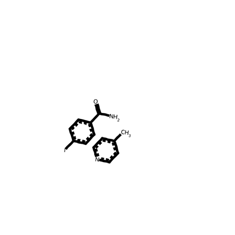 Cc1ccncc1.NC(=O)c1ccc(I)cc1